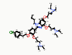 CCCCn1c(-c2ccc(OCCc3ccc(Cl)cc3)c(OCCCN(CC)CC)c2)nc2c(OCCCN(CC)CC)cc(OCCCN(CC)CC)cc21